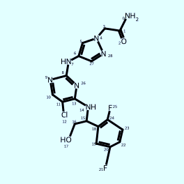 NC(=O)Cn1cc(Nc2ncc(Cl)c(NC(CO)c3cc(F)ccc3F)n2)cn1